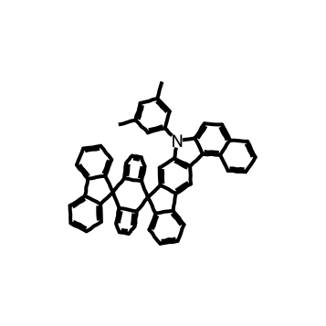 Cc1cc(C)cc(-n2c3cc4c(cc3c3c5ccccc5ccc32)-c2ccccc2C42c3ccccc3C3(c4ccccc4-c4ccccc43)c3ccccc32)c1